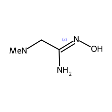 CNC/C(N)=N/O